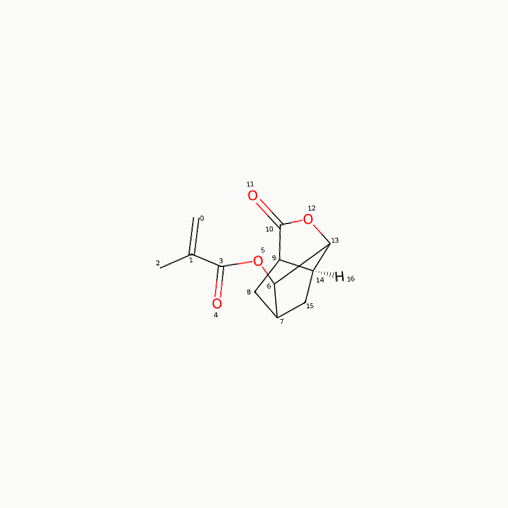 C=C(C)C(=O)OC1C2CC3C(=O)OC1[C@H]3C2